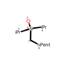 CCCCCC[Si]([O])(C(C)C)C(C)C